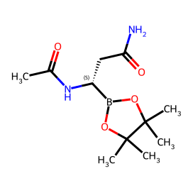 CC(=O)N[C@H](CC(N)=O)B1OC(C)(C)C(C)(C)O1